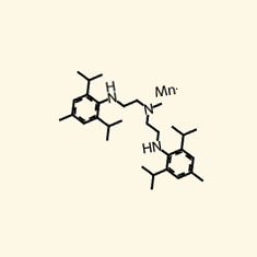 Cc1cc(C(C)C)c(NCCN(C)CCNc2c(C(C)C)cc(C)cc2C(C)C)c(C(C)C)c1.[Mn]